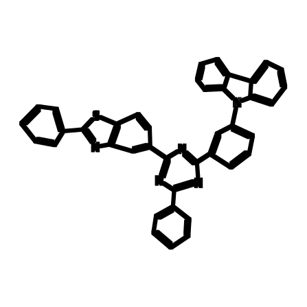 c1ccc(-c2nc(-c3cccc(-n4c5ccccc5c5ccccc54)c3)nc(-c3ccc4sc(-c5ccccc5)nc4c3)n2)cc1